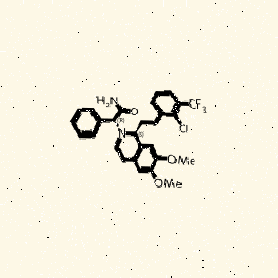 COc1cc2c(cc1OC)[C@H](CCc1cccc(C(F)(F)F)c1Cl)N([C@@H](C(N)=O)c1ccccc1)CC2